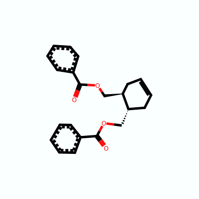 O=C(OC[C@H]1CC=CC[C@@H]1COC(=O)c1ccccc1)c1ccccc1